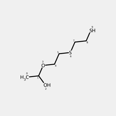 CC(O)OCCSCCS